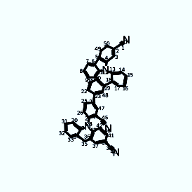 N#CC1=Cc2c(c3ccccc3n2-c2ccccc2-c2cccc(-c3ccc(N4c5ccccc5Cc5cc(C#N)ccc54)c(C#N)c3)c2)CC1